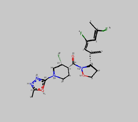 C=C(/C=C(F)\C=C(/C)F)[C@@H]1CCON1C(=O)[C@@H]1CCN(c2nnc(C)o2)C[C@@H]1F